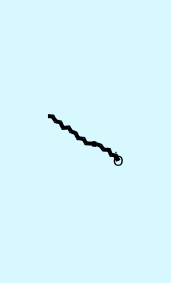 CCCCCCCCCCCC#CCCCC[C]=O